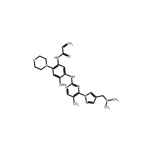 C=CC(=O)Nc1cc(Nc2ncc(C)c(-n3cc(CN(C)C)cn3)n2)c(OC)cc1N1CCOCC1